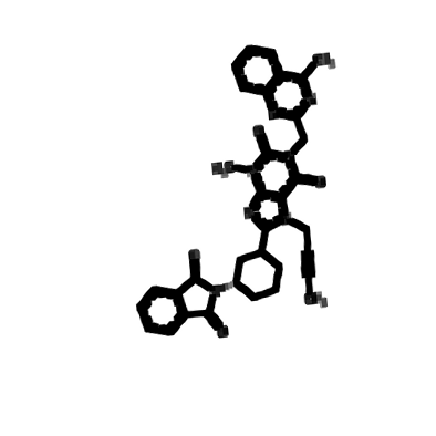 CC#CCn1c(C2CCC[C@H](N3C(=O)c4ccccc4C3=O)C2)nc2c1c(=O)n(Cc1nc(C)c3ccccc3n1)c(=O)n2C